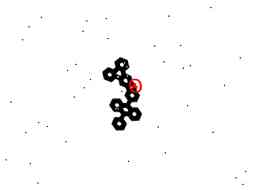 c1ccc(-c2c3ccccc3c(-c3ccc4oc5cc6c7ccccc7c7ccccc7c6cc5c4c3)c3ccccc23)cc1